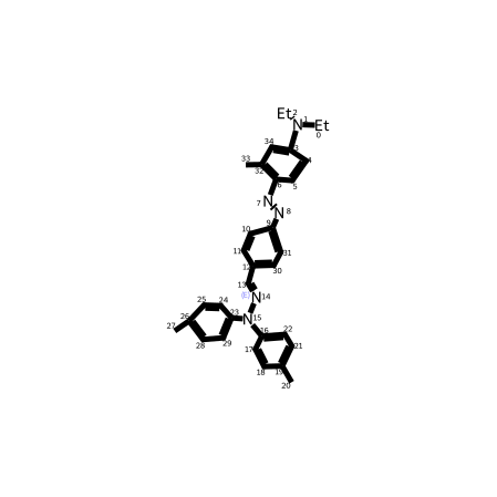 CCN(CC)c1ccc(N=Nc2ccc(/C=N/N(c3ccc(C)cc3)c3ccc(C)cc3)cc2)c(C)c1